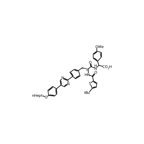 CCCCCCCOc1ccc(-c2cnc(-c3ccc(C[C@H](NC(=O)c4ccc(C(C)(C)C)s4)C(=O)NC(C(=O)O)c4ccc(OC)cc4)cc3)nc2)cc1